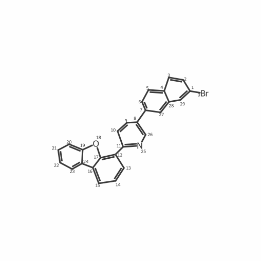 Brc1ccc2ccc(-c3ccc(-c4cccc5c4oc4ccccc45)nc3)cc2c1